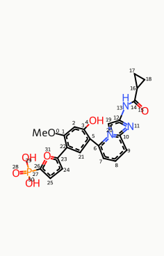 COc1cc(O)c(-c2cccc3nc(NC(=O)C4CC4)cn23)cc1-c1ccc(P(=O)(O)O)o1